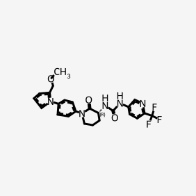 COCc1cccn1-c1ccc(N2CCC[C@@H](NC(=O)Nc3ccc(C(F)(F)F)nc3)C2=O)cc1